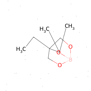 CCC12COB(OC1)OC2(C)C